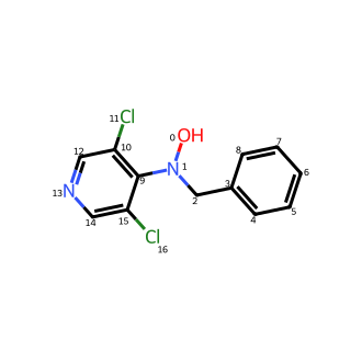 ON(Cc1ccccc1)c1c(Cl)cncc1Cl